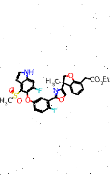 CCOC(=O)Cc1cccc2c1OC[C@]2(C)c1coc(-c2cc(Oc3c(F)cc4[nH]ccc4c3S(C)(=O)=O)ccc2F)n1